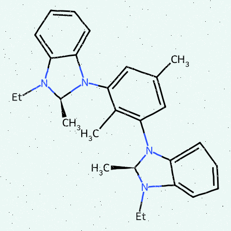 CCN1c2ccccc2N(c2cc(C)cc(N3c4ccccc4N(CC)[C@@H]3C)c2C)[C@@H]1C